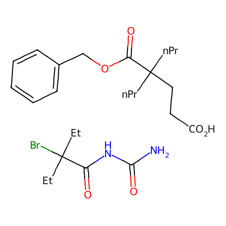 CCC(Br)(CC)C(=O)NC(N)=O.CCCC(CCC)(CCC(=O)O)C(=O)OCc1ccccc1